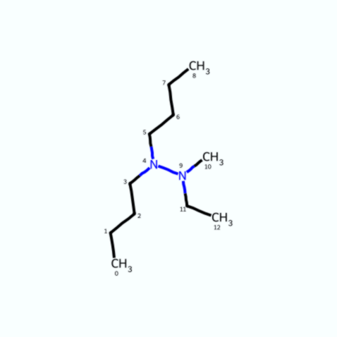 CCCCN(CCCC)N(C)CC